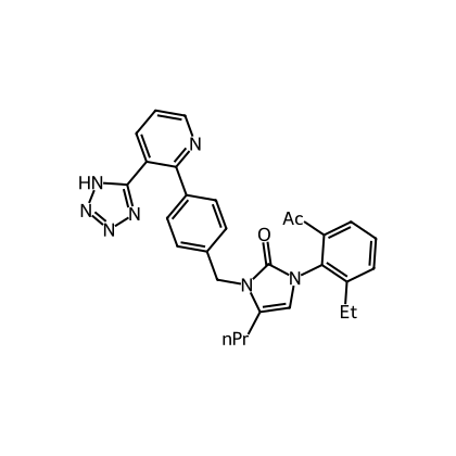 CCCc1cn(-c2c(CC)cccc2C(C)=O)c(=O)n1Cc1ccc(-c2ncccc2-c2nnn[nH]2)cc1